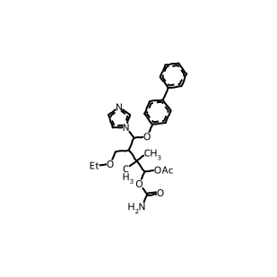 CCOCC(C(Oc1ccc(-c2ccccc2)cc1)n1ccnc1)C(C)(C)C(OC(C)=O)OC(N)=O